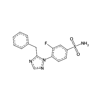 NS(=O)(=O)c1ccc(-n2ncnc2Cc2ccccc2)c(F)c1